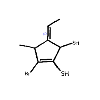 C/C=C1/C(C)C(Br)=C(S)C1S